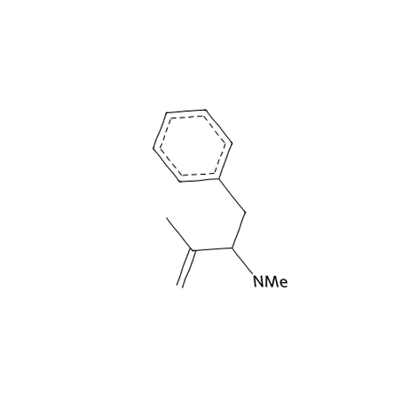 C=C(C)C(Cc1ccccc1)NC